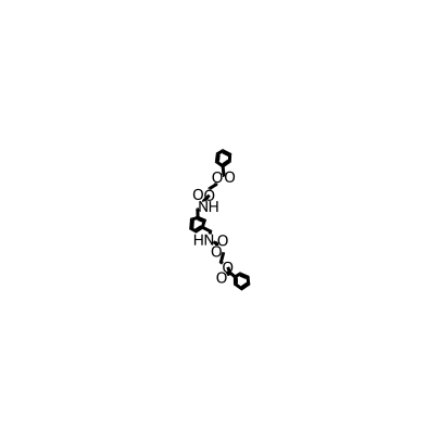 O=C(NCc1cccc(CNC(=O)OCCOC(=O)c2ccccc2)c1)OCCOC(=O)c1ccccc1